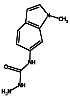 Cn1ccc2ccc(NC(=O)NN)cc21